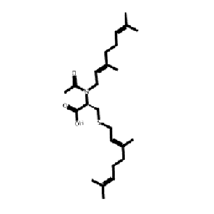 CC(=O)N(C/C=C(\C)CCC=C(C)C)[C@@H](CSC/C=C(\C)CCC=C(C)C)C(=O)O